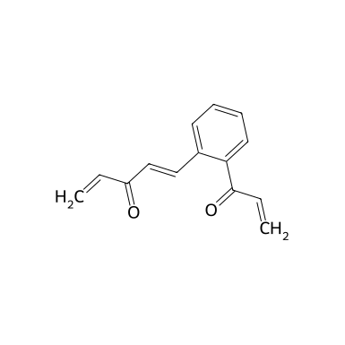 C=CC(=O)/C=C/c1ccccc1C(=O)C=C